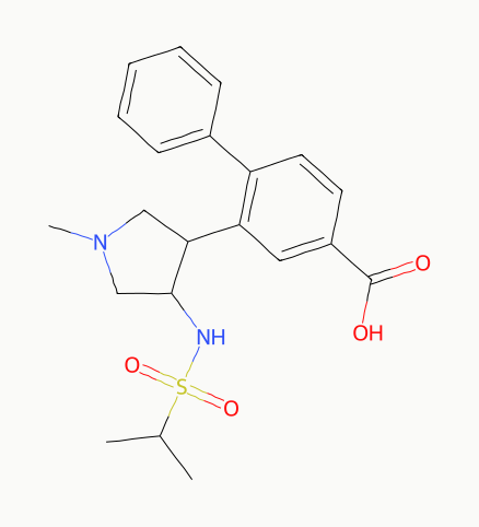 CC(C)S(=O)(=O)NC1CN(C)CC1c1cc(C(=O)O)ccc1-c1ccccc1